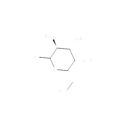 CC(=O)OC[C@@H]1OC(Br)[C@@H](OC(C)=O)[C@H](OC(C)=O)[C@@H]1OC(C)=O